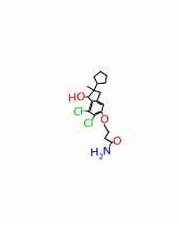 CC1(C2CCCC2)Cc2cc(OCCCC(N)=O)c(Cl)c(Cl)c2C1O